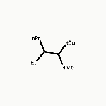 CCCC(CC)C(NC)C(C)(C)C